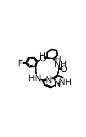 O=C1N[C@@H]2CCCC[C@@H]2Oc2ccc(F)cc2CNC2=NC3=C1CNN3C=C2